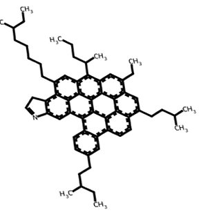 CCCC(C)c1c2cc(CCCCCC(C)CC)c3c4c(cc5c3c2c2c3c1cc(CC)c1cc(CCC(C)C)c6ccc7c8cc(CCC(C)CC)ccc8c5c2c7c6c13)N=CC4